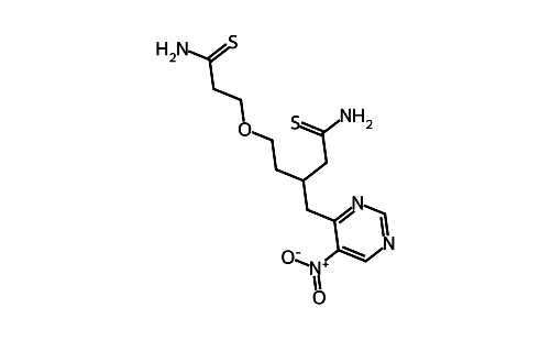 NC(=S)CCOCCC(CC(N)=S)Cc1ncncc1[N+](=O)[O-]